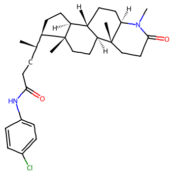 C[C@H](CCC(=O)Nc1ccc(Cl)cc1)[C@H]1CC[C@H]2[C@@H]3CC[C@H]4N(C)C(=O)CC[C@]4(C)[C@H]3CC[C@]12C